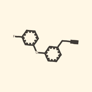 C#C[CH]c1cccc(Oc2cccc(F)c2)c1